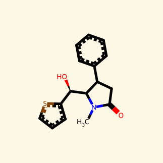 CN1C(=O)CC(c2ccccc2)C1[C@H](O)c1cccs1